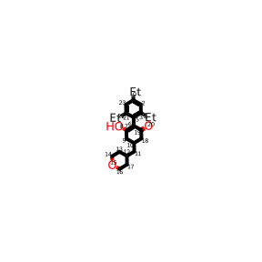 CCc1cc(CC)c(C2=C(O)CC(CC3CCOCC3)CC2=O)c(CC)c1